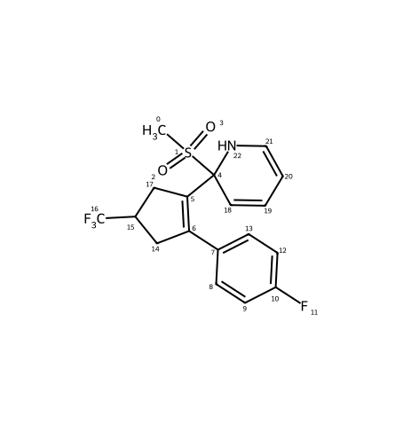 CS(=O)(=O)C1(C2=C(c3ccc(F)cc3)CC(C(F)(F)F)C2)C=CC=CN1